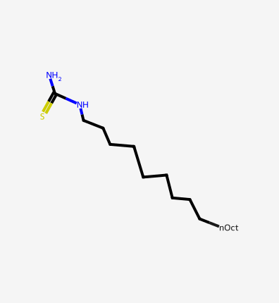 CCCCCCCCCCCCCCCCCNC(N)=S